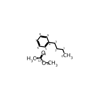 CCCCc1ccccc1.COC(C)=O